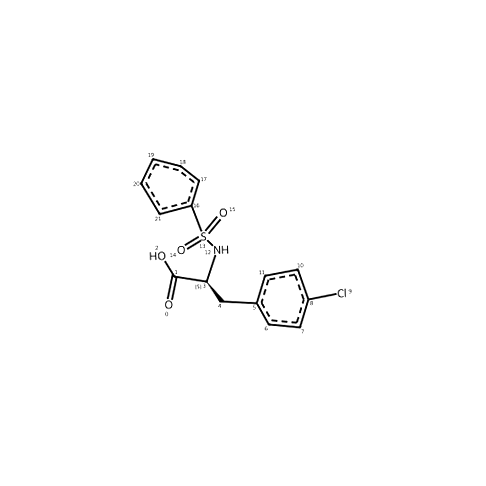 O=C(O)[C@H](Cc1ccc(Cl)cc1)NS(=O)(=O)c1ccccc1